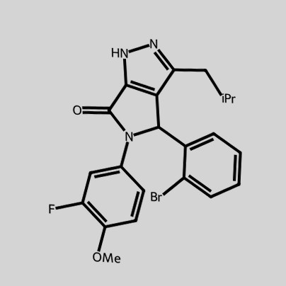 COc1ccc(N2C(=O)c3[nH]nc(CC(C)C)c3C2c2ccccc2Br)cc1F